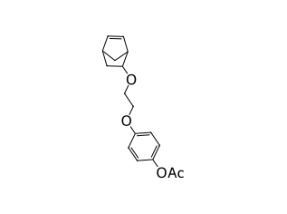 CC(=O)Oc1ccc(OCCOC2CC3C=CC2C3)cc1